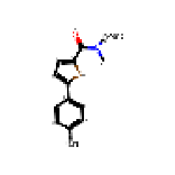 CCCCCN(C)C(=O)c1ccc(-c2ccc(C#N)cc2)s1